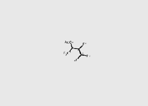 CC(=O)OC(C(F)C(F)F)C(F)(F)F